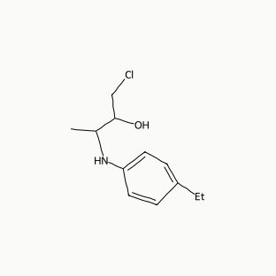 CCc1ccc(NC(C)C(O)CCl)cc1